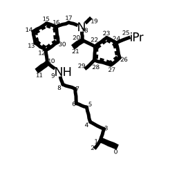 C=C(C)CCCCCCNC(=C)c1cccc(CN(C)C(=C)c2cc(C(C)C)ccc2C)c1